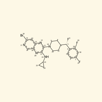 Fc1ccc([C@@H](F)C2CCN(c3nc4cc(Br)ncc4nc3NC3CC3)CC2)c(F)c1